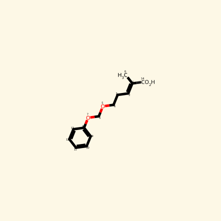 CC(=CCCOCOc1ccccc1)C(=O)O